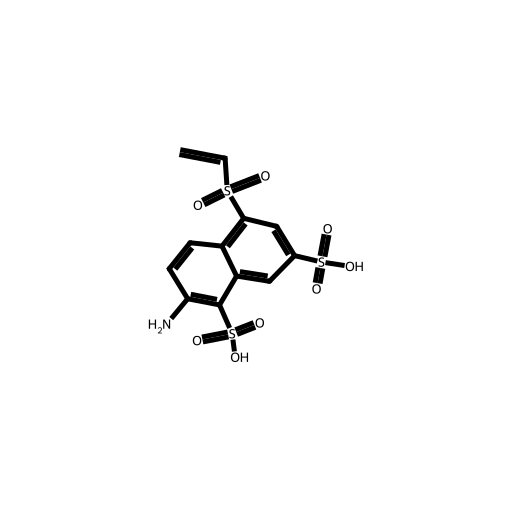 C=CS(=O)(=O)c1cc(S(=O)(=O)O)cc2c(S(=O)(=O)O)c(N)ccc12